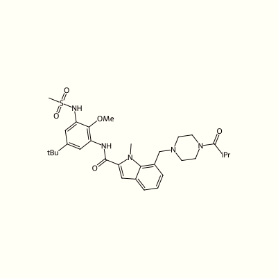 COc1c(NC(=O)c2cc3cccc(CN4CCN(C(=O)C(C)C)CC4)c3n2C)cc(C(C)(C)C)cc1NS(C)(=O)=O